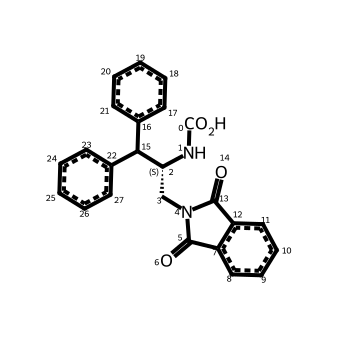 O=C(O)N[C@H](CN1C(=O)c2ccccc2C1=O)C(c1ccccc1)c1ccccc1